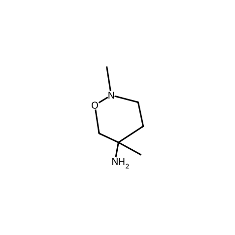 CN1CCC(C)(N)CO1